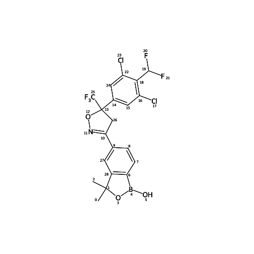 CC1(C)OB(O)c2ccc(C3=NOC(c4cc(Cl)c(C(F)F)c(Cl)c4)(C(F)(F)F)C3)cc21